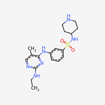 CCNc1ncc(C)c(Nc2cccc(S(=O)(=O)NC3CCNCC3)c2)n1